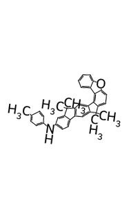 Cc1ccc(Nc2ccc3c(c2)C(C)(C)c2cc4c(cc2-3)C(C)(C)c2ccc3oc5ccccc5c3c2-4)cc1